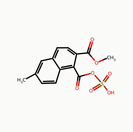 COC(=O)c1ccc2cc(C)ccc2c1C(=O)OS(=O)(=O)O